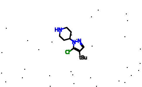 CC(C)(C)c1cnn(C2CCNCC2)c1Cl